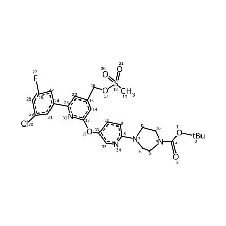 CC(C)(C)OC(=O)N1CCN(c2ccc(Oc3cc(COS(C)(=O)=O)cc(-c4cc(F)cc(Cl)c4)n3)cn2)CC1